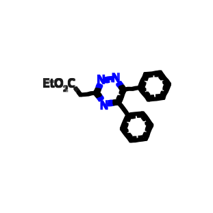 CCOC(=O)Cc1nnc(-c2ccccc2)c(-c2ccccc2)n1